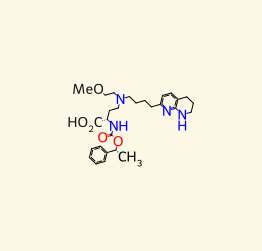 COCCN(CCCCc1ccc2c(n1)NCCC2)CC[C@H](NC(=O)O[C@H](C)c1ccccc1)C(=O)O